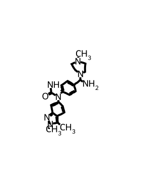 Cc1c2ccc(N(C(N)=O)c3ccc(C(N)N4CCN(C)CC4)cc3)cc2nn1C